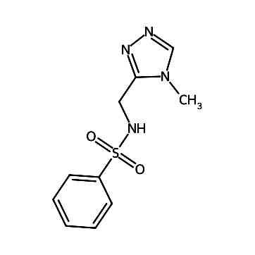 Cn1cnnc1CNS(=O)(=O)c1ccccc1